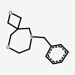 c1ccc(CN2CCOCC3(COC3)C2)cc1